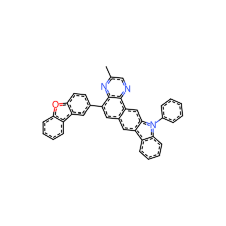 Cc1cnc2c(n1)c(-c1ccc3oc4ccccc4c3c1)cc1cc3c4ccccc4n(-c4ccccc4)c3cc12